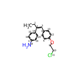 CC/C(=C/c1ccc(OCCCl)cc1)c1ccc(N)cc1